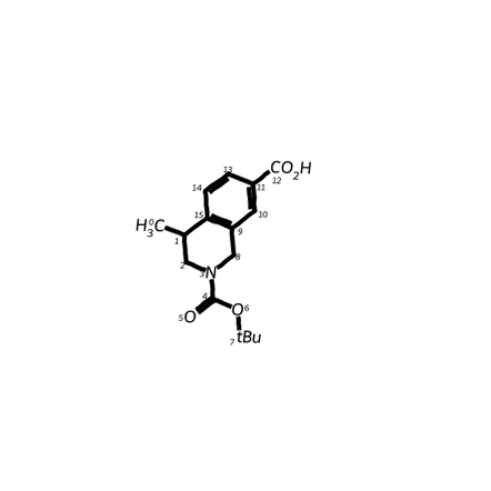 CC1CN(C(=O)OC(C)(C)C)Cc2cc(C(=O)O)ccc21